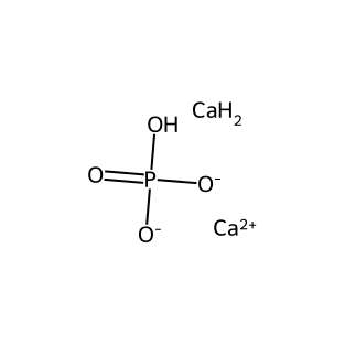 O=P([O-])([O-])O.[Ca+2].[CaH2]